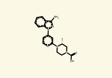 C[C@@H]1CN(C(=O)O)CCN1c1cc(-n2nc(N)c3ccccc32)ccn1